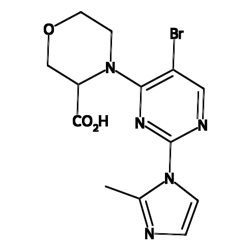 Cc1nccn1-c1ncc(Br)c(N2CCOCC2C(=O)O)n1